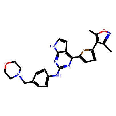 Cc1noc(C)c1-c1ccc(-c2nc(Nc3ccc(CN4CCOCC4)cc3)nc3[nH]ccc23)s1